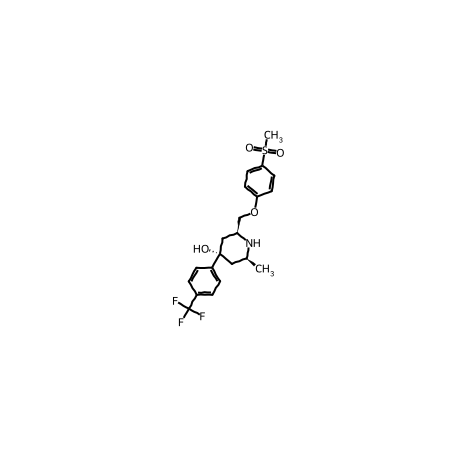 C[C@H]1C[C@@](O)(c2ccc(C(F)(F)F)cc2)C[C@@H](COc2ccc(S(C)(=O)=O)cc2)N1